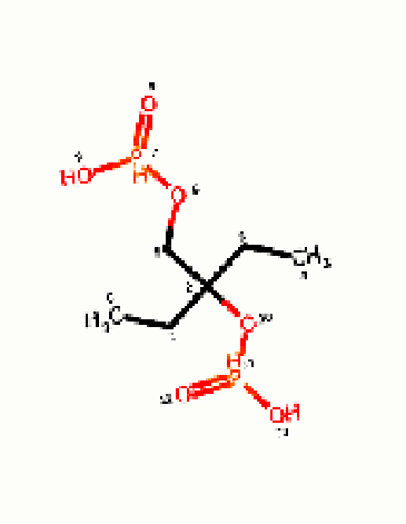 CCC(CC)(CO[PH](=O)O)O[PH](=O)O